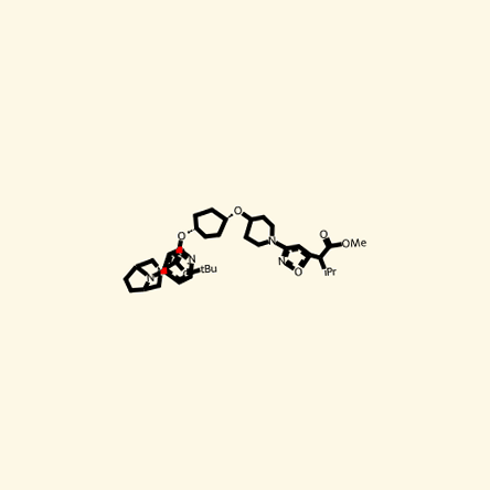 COC(=O)C(c1cc(N2CCC(O[C@H]3CC[C@@H](Oc4cc(N5C6CCC5CN(C(=O)OC(C)(C)C)C6)ccn4)CC3)CC2)no1)C(C)C